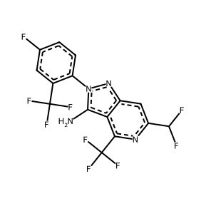 Nc1c2c(C(F)(F)F)nc(C(F)F)cc2nn1-c1ccc(F)cc1C(F)(F)F